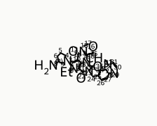 CCn1c(N2CCC[C@@H](N)C2)c(C(=O)N2CCOCC2)c2c1c(=O)n(Cc1ccc3nccnc3c1)c(=O)n2C